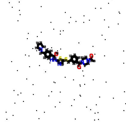 CC(=O)N1CCN(C(=O)c2cccc(CSc3cnc(NC(=O)c4ccc(CN5CCCC5)cc4)s3)c2)CC1